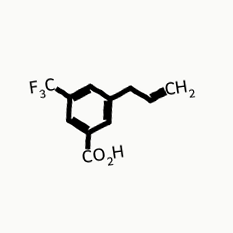 C=CCc1cc(C(=O)O)cc(C(F)(F)F)c1